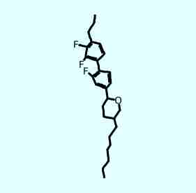 CCCCCCCC1CCC(c2ccc(-c3ccc(CCC)c(F)c3F)c(F)c2)OC1